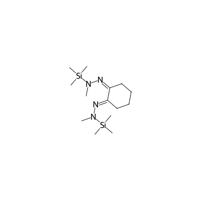 CN(/N=C1/CCCC/C1=N\N(C)[Si](C)(C)C)[Si](C)(C)C